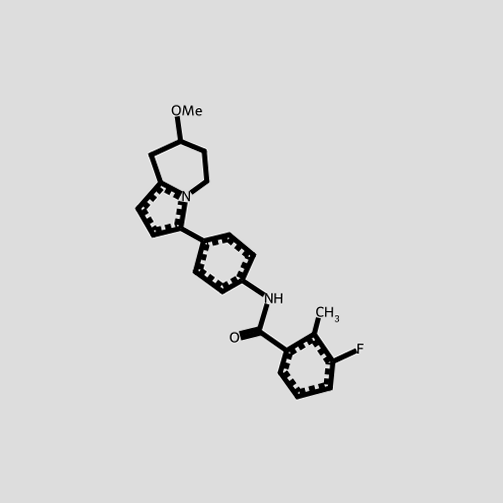 COC1CCn2c(ccc2-c2ccc(NC(=O)c3cccc(F)c3C)cc2)C1